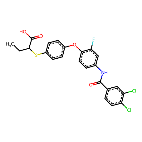 CCC(Sc1ccc(Oc2ccc(NC(=O)c3ccc(Cl)c(Cl)c3)cc2F)cc1)C(=O)O